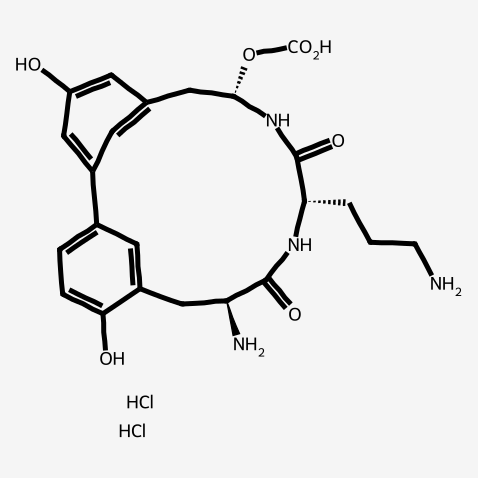 Cl.Cl.NCCC[C@@H]1NC(=O)[C@@H](N)Cc2cc(ccc2O)-c2cc(O)cc(c2)C[C@H](OC(=O)O)NC1=O